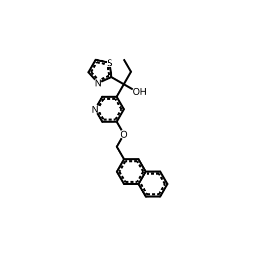 CCC(O)(c1cncc(OCc2ccc3ccccc3c2)c1)c1nccs1